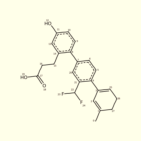 CC1=CC(c2ccc(-c3ccc(O)cc3CCC(=O)O)cc2C(F)F)=CCC1